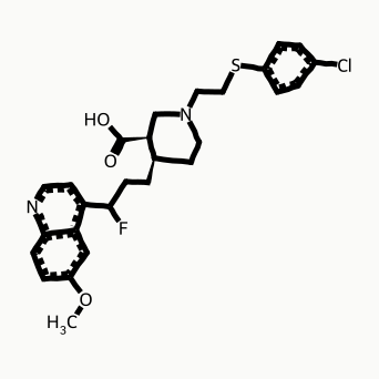 COc1ccc2nccc(C(F)CC[C@@H]3CCN(CCSc4ccc(Cl)cc4)C[C@@H]3C(=O)O)c2c1